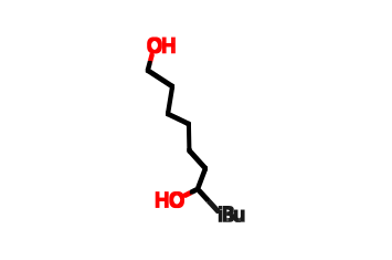 CCC(C)C(O)CCCCCCO